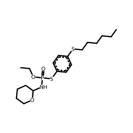 CCCCCCSc1ccc(SP(=O)(NC2CCCCO2)OCC)cc1